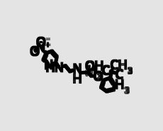 CC(C)(C)c1ccccc1OC[C@@H](O)CNCCNc1ccc([N+](=O)[O-])cn1